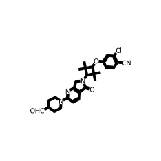 CC1(C)C(Oc2ccc(C#N)c(Cl)c2)C(C)(C)C1N1Cc2nc(N3CCC(C=O)CC3)ccc2C1=O